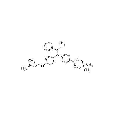 CCC(=C(c1ccc(OCCN(C)C)cc1)c1ccc(B2OCC(C)(C)CO2)cc1)c1ccccc1